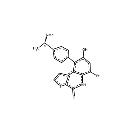 CCc1cc(O)c(-c2ccc([C@@H](C)NC)cc2)c2c1[nH]c(=O)c1sccc12